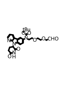 CC(C)(C)OC(=O)N(CCOCCOCC=O)c1ccc2c(c1)c1cccnc1n2C1CCC(=O)NC1=O